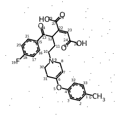 Cc1ccc(OC2=CCN(CCC(C(=O)c3ccc(F)cc3)/C(=C\C(=O)O)C(=O)O)CC2)cc1